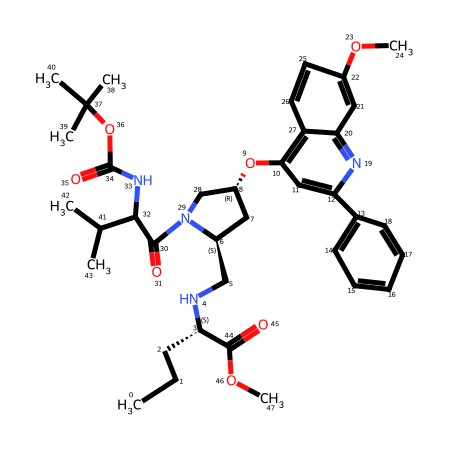 CCC[C@H](NC[C@@H]1C[C@@H](Oc2cc(-c3ccccc3)nc3cc(OC)ccc23)CN1C(=O)C(NC(=O)OC(C)(C)C)C(C)C)C(=O)OC